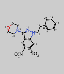 O=[N+]([O-])c1cc2c(N3CCOCC3)nn(CCc3ccccc3)c2cc1[N+](=O)[O-]